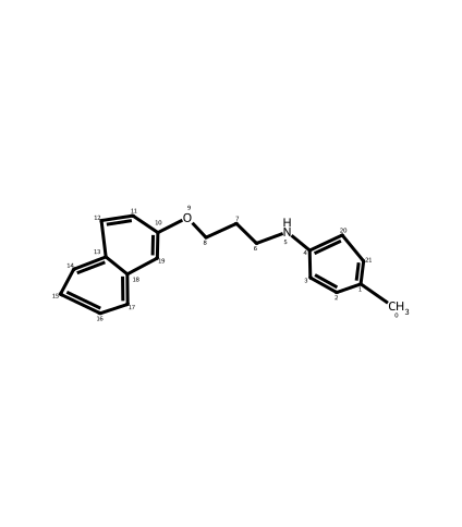 Cc1ccc(NCCCOc2ccc3ccccc3c2)cc1